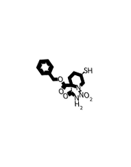 NC(=O)[C@]1(C(=O)OCc2ccccc2)CC[C@H](S)CN1[N+](=O)[O-]